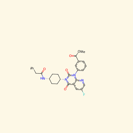 COC(=O)c1cccc(-n2c(=O)n([C@H]3CC[C@@H](NC(=O)CC(C)C)CC3)c(=O)c3cc(F)cnc32)c1